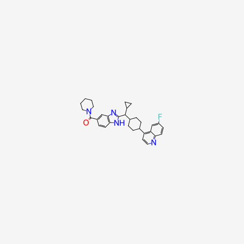 O=C(c1ccc2[nH]c(C(C3CCC(c4ccnc5ccc(F)cc45)CC3)C3CC3)nc2c1)N1CCCCC1